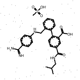 CC(C)CNC(=O)c1ccc(-c2ccccc2CNc2ccc(C(=N)N)cc2)c(C(=O)O)c1.CS(=O)(=O)O